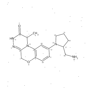 CC1C(=O)NN=C2COc3ccc(N4CCCC4CN)cc3N21